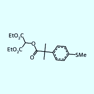 CCOC(=O)C(OC(=O)C(C)(C)c1ccc(SC)cc1)C(=O)OCC